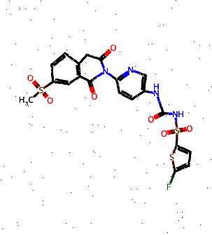 CS(=O)(=O)c1ccc2c(c1)C(=O)N(c1ccc(NC(=O)NS(=O)(=O)c3ccc(F)s3)cn1)C(=O)C2